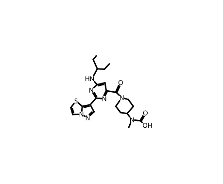 CCC(CC)Nc1cc(C(=O)N2CCC(N(C)C(=O)O)CC2)nc(-c2cnn3ccsc23)n1